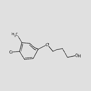 Cc1cc(OCCCO)ccc1Cl